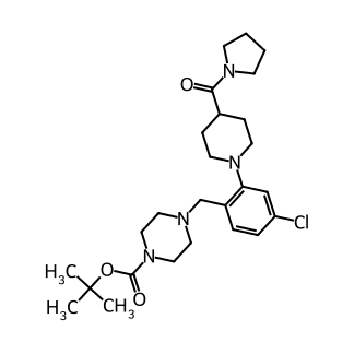 CC(C)(C)OC(=O)N1CCN(Cc2ccc(Cl)cc2N2CCC(C(=O)N3CCCC3)CC2)CC1